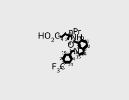 CCCC(C)(CCC(=O)O)NC(=O)c1cccc2ccn(Cc3ccc(C(F)(F)F)cc3)c12